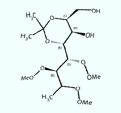 COOC(C)[C@@H](OOC)[C@@H](OOC)[C@@H]1OC(C)(C)O[C@@H](CO)[C@H]1O